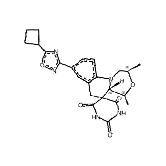 C[C@@H]1CN2c3ccc(-c4noc(C5CCC5)n4)cc3CC3(C(=O)NC(=O)NC3=O)[C@H]2[C@H](C)O1